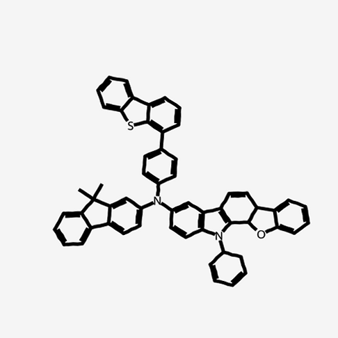 CC1(C)c2ccccc2-c2ccc(N(c3ccc(-c4cccc5c4sc4ccccc45)cc3)c3ccc4c(c3)c3c(n4C4C=CC=CC4)C4Oc5ccccc5C4C=C3)cc21